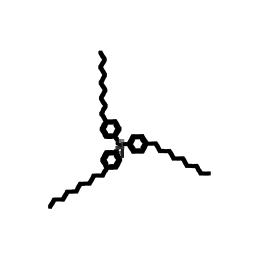 CCCCCCCCCc1ccc([SiH](c2ccc(CCCCCCCCC)cc2)c2ccc(CCCCCCCCC)cc2)cc1